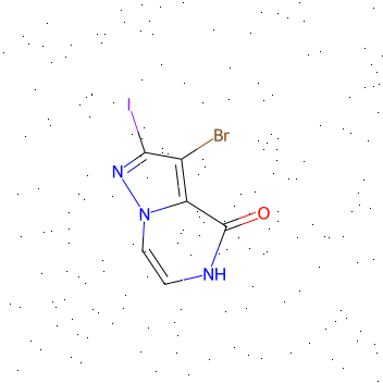 O=c1[nH]ccn2nc(I)c(Br)c12